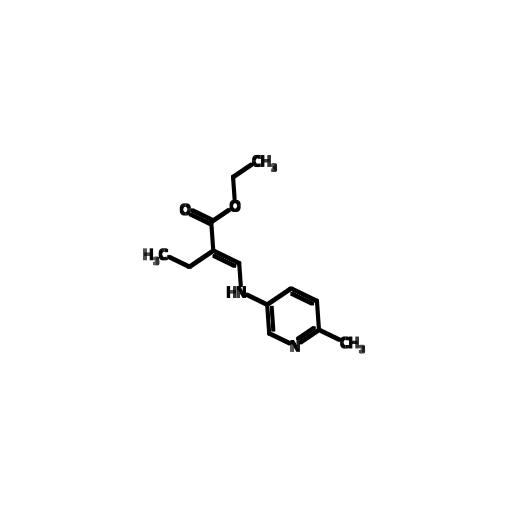 CCOC(=O)/C(=C/Nc1ccc(C)nc1)CC